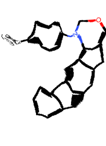 [GeH3][c]1ccc(N2COC=C3Cc4cc5c(cc4=C32)-c2ccccc2C=5)cc1